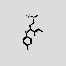 C/C=C(\C)C(CCN(C)N)Nc1ccc(Cl)cc1